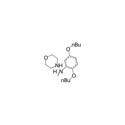 C1COCCN1.CCCCOc1ccc(OCCCC)c(N)c1